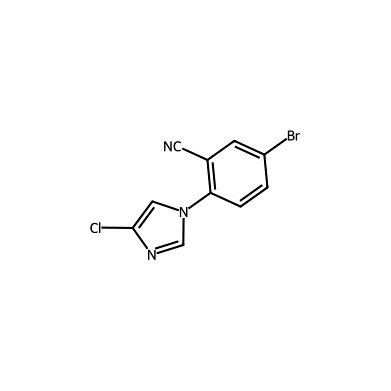 N#Cc1cc(Br)ccc1-n1cnc(Cl)c1